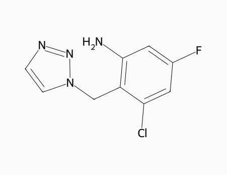 Nc1cc(F)cc(Cl)c1Cn1ccnn1